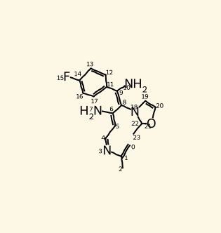 C=C(C)\N=C/C=C(N)/C(=C(/N)c1ccc(F)cc1)N1C=COC1C